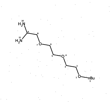 CCCCOCCOCCOCC(N)N